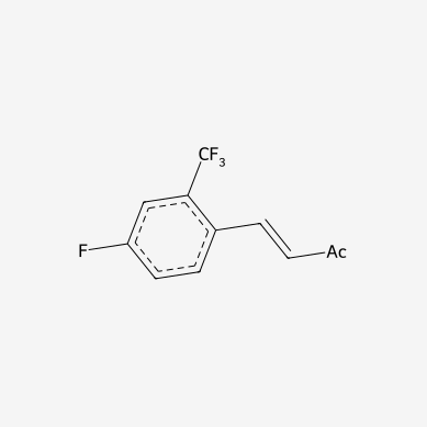 CC(=O)C=Cc1ccc(F)cc1C(F)(F)F